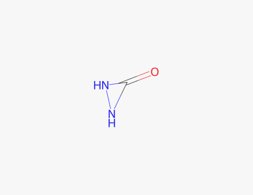 O=C1NN1